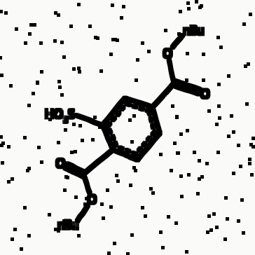 CCCCOC(=O)c1ccc(C(=O)OCCCC)c(S(=O)(=O)O)c1